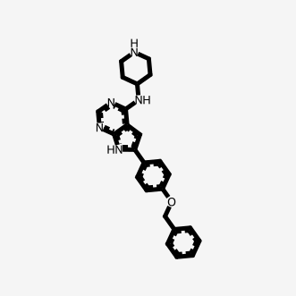 c1ccc(COc2ccc(-c3cc4c(NC5CCNCC5)ncnc4[nH]3)cc2)cc1